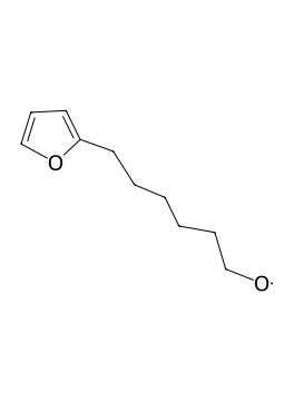 [O]CCCCCCc1ccco1